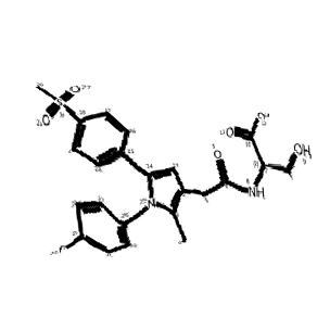 Cc1c(CC(=O)N[C@H](CO)C(=O)O)cc(-c2ccc(S(C)(=O)=O)cc2)n1-c1ccc(F)cc1